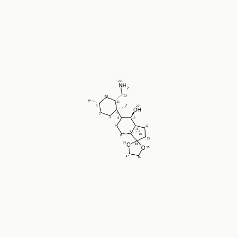 C[C@H]1CC[C@](C)(C2CC[C@@]3(C)C(CCC34OCCO4)[C@@H]2O)[C@@H](CN)C1